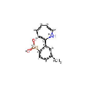 Cc1ccc([SH](=O)=O)c(C2=CC=CC=CN2)c1